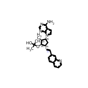 C[C@@H]1[C@H](OC(C)(C)O)[C@@H](/C=C/c2ccc3cccnc3c2)C[C@H]1n1ccc2c(N)ncnc21